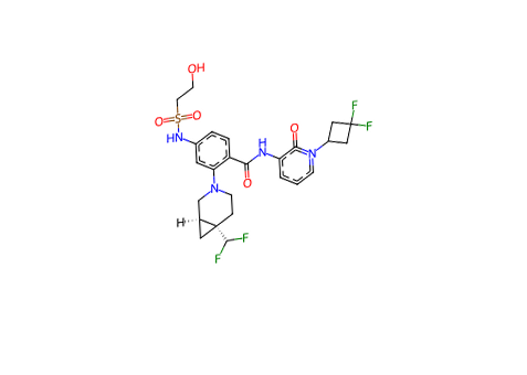 O=C(Nc1cccn(C2CC(F)(F)C2)c1=O)c1ccc(NS(=O)(=O)CCO)cc1N1CC[C@@]2(C(F)F)C[C@H]2C1